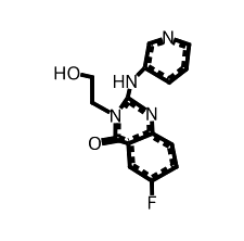 O=c1c2cc(F)ccc2nc(Nc2cccnc2)n1CCO